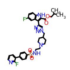 CC(C)COC(=O)c1[nH]c2ccc(F)cc2c1-c1cn(CC2CCN(CCNS(=O)(=O)c3ccc(-c4cccnc4F)cc3)CC2)nn1